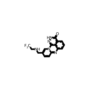 O=c1[nH]nc2c3c(cccc13)N=C1C=CC(CNCC(F)(F)F)=CN12